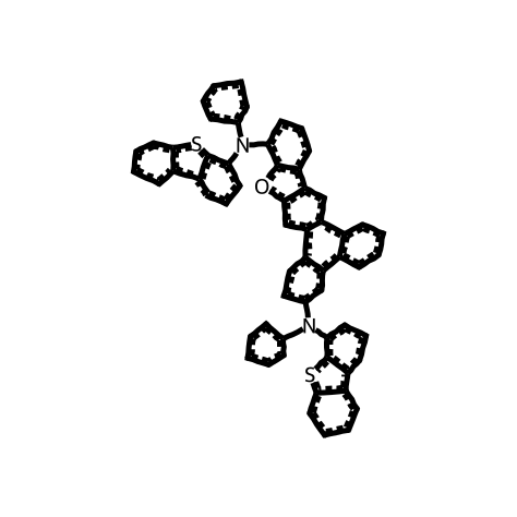 c1ccc(N(c2ccc3c(c2)c2ccccc2c2cc4c(cc32)oc2c(N(c3ccccc3)c3cccc5c3sc3ccccc35)cccc24)c2cccc3c2sc2ccccc23)cc1